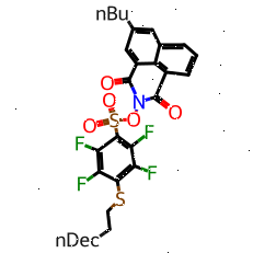 CCCCCCCCCCCCSc1c(F)c(F)c(S(=O)(=O)ON2C(=O)c3cccc4cc(CCCC)cc(c34)C2=O)c(F)c1F